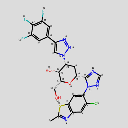 Cc1nc2cc(Cl)c(-n3ncnc3[C@H]3C[C@@H](n4cc(-c5cc(F)c(F)c(F)c5)nn4)[C@@H](O)[C@@H](CO)O3)cc2s1